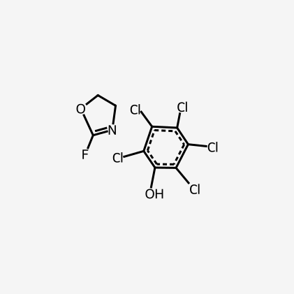 FC1=NCCO1.Oc1c(Cl)c(Cl)c(Cl)c(Cl)c1Cl